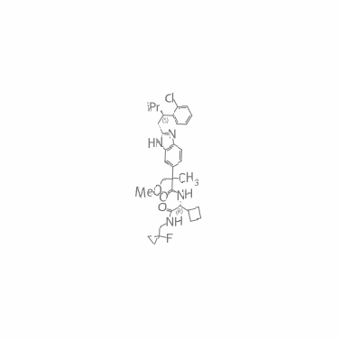 COCC(C)(C(=O)N[C@@H](C(=O)NCC1(F)CC1)C1CCC1)c1ccc2nc(C[C@H](c3ccccc3Cl)C(C)C)[nH]c2c1